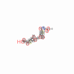 CCOC(=O)CCN(C)C(=O)c1cc2cc(OCCCOc3cc4sc(C(=O)CCC(=O)O)cc4cc3OC)c(OC)cc2s1